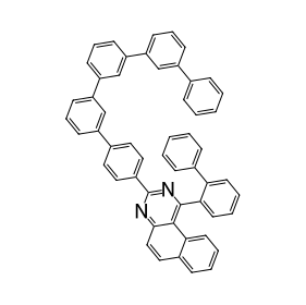 c1ccc(-c2cccc(-c3cccc(-c4cccc(-c5ccc(-c6nc(-c7ccccc7-c7ccccc7)c7c(ccc8ccccc87)n6)cc5)c4)c3)c2)cc1